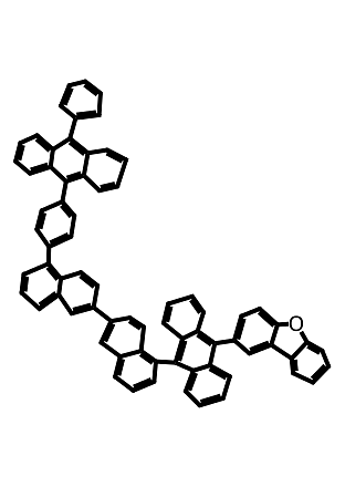 c1ccc(-c2c3ccccc3c(-c3ccc(-c4cccc5cc(-c6ccc7c(-c8c9ccccc9c(-c9ccc%10oc%11ccccc%11c%10c9)c9ccccc89)cccc7c6)ccc45)cc3)c3ccccc23)cc1